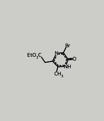 CCOC(=O)Cc1nc(Br)c(=O)[nH]c1C